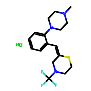 CN1CCN(c2ccccc2C=C2CN(C(F)(F)F)CCS2)CC1.Cl